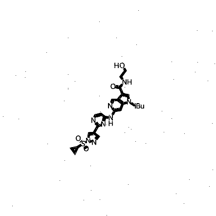 CCC(C)n1cc(C(=O)NCCO)c2cnc(Nc3ccnc(-c4cnn(S(=O)(=O)C5CC5)c4)n3)cc21